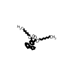 CCCCCCCCOC(=O)c1ccccc1C(=O)OCCCCCCCC.c1ccc2c(c1)-c1ccccc1-2